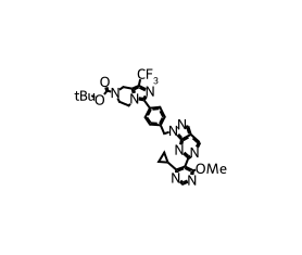 COc1ncnc(C2CC2)c1-c1ncc2cnn(Cc3ccc(-c4nc(C(F)(F)F)c5n4CCN(C(=O)OC(C)(C)C)C5)cc3)c2n1